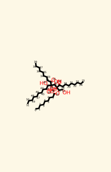 CCCCCCCCC(=O)OC(CO)C(O)(C(=O)CCCCCCCC)C(O)C(O)(C(=O)CCCCCCCC)C(O)C(=O)CCCCCCCC